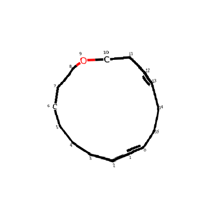 C1=CCCCCCCCOCCC=CCC1